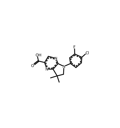 CC1(C)CN(c2ccc(Cl)c(F)c2)c2ncc(C(=O)O)nc21